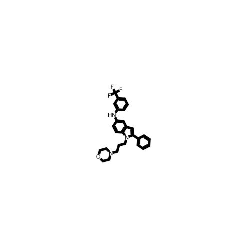 FC(F)(F)c1cccc(Nc2ccc3c(c2)cc(-c2ccccc2)n3CCCN2CCOCC2)c1